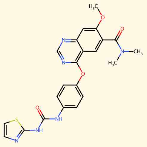 COc1cc2ncnc(Oc3ccc(NC(=O)Nc4nccs4)cc3)c2cc1C(=O)N(C)C